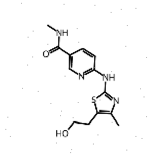 CNC(=O)c1ccc(Nc2nc(C)c(CCO)s2)nc1